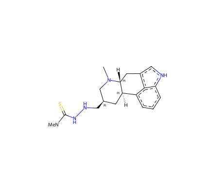 CNC(=S)NNC[C@@H]1C[C@@H]2c3cccc4[nH]cc(c34)C[C@H]2N(C)C1